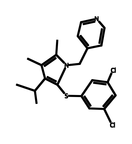 Cc1c(C(C)C)c(Sc2cc(Cl)cc(Cl)c2)n(Cc2ccncc2)c1C